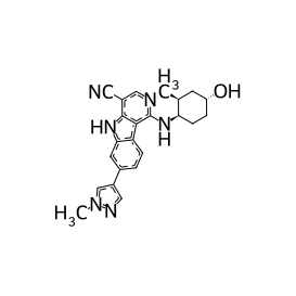 C[C@H]1C[C@H](O)CC[C@H]1Nc1ncc(C#N)c2[nH]c3cc(-c4cnn(C)c4)ccc3c12